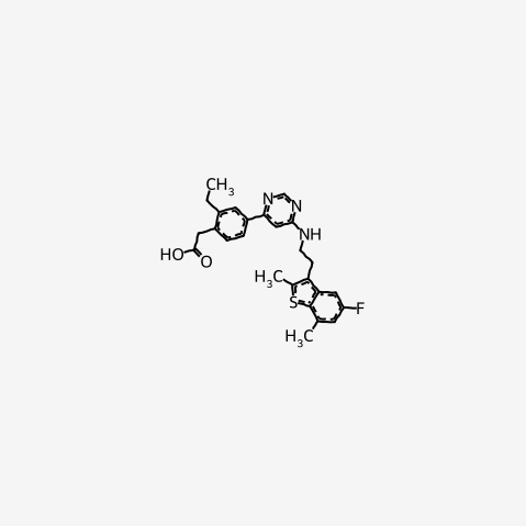 CCc1cc(-c2cc(NCCc3c(C)sc4c(C)cc(F)cc34)ncn2)ccc1CC(=O)O